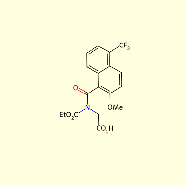 CCOC(=O)N(CC(=O)O)C(=O)c1c(OC)ccc2c(C(F)(F)F)cccc12